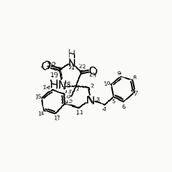 CC1(CN(Cc2ccccc2)Cc2ccccc2)NC(=O)NC1=O